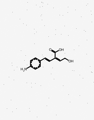 Nc1ccc(C=CC(=CCO)C(=O)O)cc1